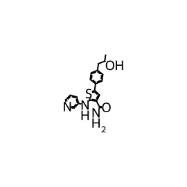 CC(O)Cc1ccc(-c2cc(C(N)=O)c(Nc3cccnc3)s2)cc1